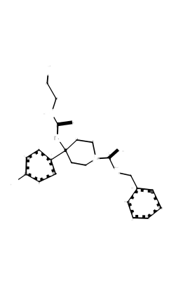 O=C(NC1(c2ccc(F)cc2)CCN(C(=O)OCc2ccccc2)CC1)OCCCl